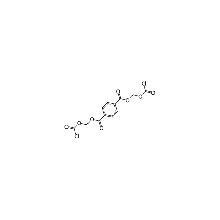 O=C(Cl)OCOC(=O)c1ccc(C(=O)OCOC(=O)Cl)cc1